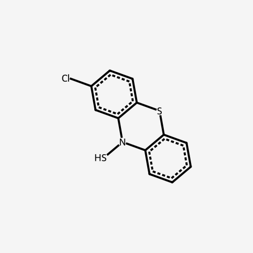 SN1c2ccccc2Sc2ccc(Cl)cc21